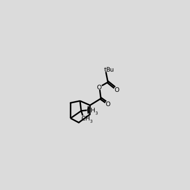 CC(C)(C)C(=O)OC(=O)C1=CCC2CC1C2(C)C